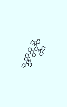 c1ccc(-c2c3ccccc3nc3c2ccc2ccc(-c4c5ccccc5c(-c5cc(-n6c7ccccc7c7ccccc76)cc(-n6c7ccccc7c7ccccc76)c5)c5ccccc45)nc23)cc1